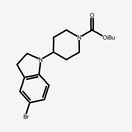 CC(C)COC(=O)N1CCC(N2CCc3cc(Br)ccc32)CC1